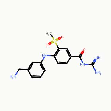 CS(=O)(=O)c1cc(C(=O)NC(=N)N)ccc1Nc1cccc(CN)c1